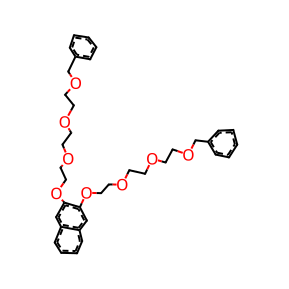 c1ccc(COCCOCCOCCOc2cc3ccccc3cc2OCCOCCOCCOCc2ccccc2)cc1